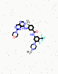 Cc1ccc(C(=O)Nc2cc(N3CCN(C)CC3)c(F)c(C(F)(F)F)c2)cc1Nc1ncnc2cnc(N3CCOCC3)nc12